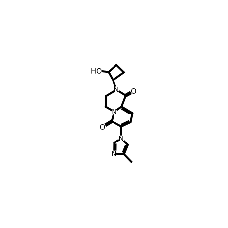 Cc1cn(-c2ccc3n(c2=O)CCN(C2CCC2O)C3=O)cn1